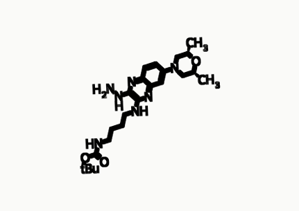 C[C@@H]1CN(c2ccc3nc(NN)c(NCCCCNC(=O)OC(C)(C)C)nc3c2)C[C@H](C)O1